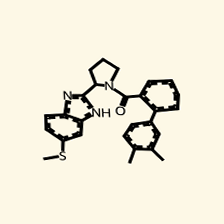 CSc1ccc2nc(C3CCCN3C(=O)c3ccccc3-c3ccc(C)c(C)c3)[nH]c2c1